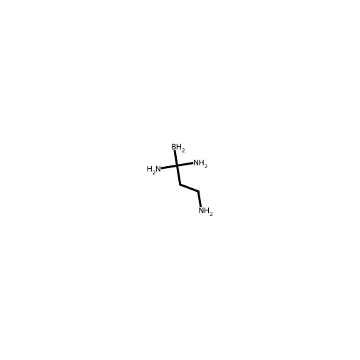 BC(N)(N)CCN